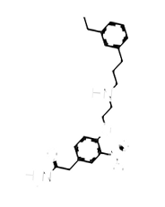 CCc1cccc(CCCNCCOc2ccc(CC(N)=O)cc2[N+](=O)[O-])c1